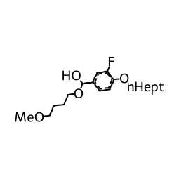 CCCCCCCOc1ccc(C(O)OCCCCOC)cc1F